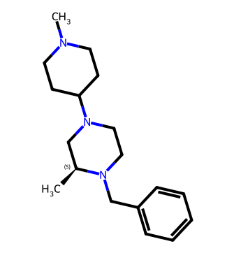 C[C@H]1CN(C2CCN(C)CC2)CCN1Cc1ccccc1